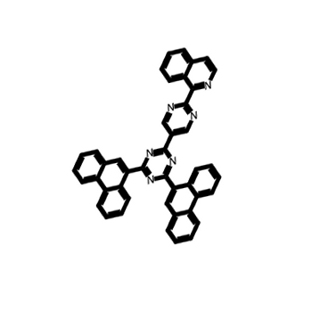 c1ccc2c(-c3ncc(-c4nc(-c5cc6ccccc6c6ccccc56)nc(-c5cc6ccccc6c6ccccc56)n4)cn3)nccc2c1